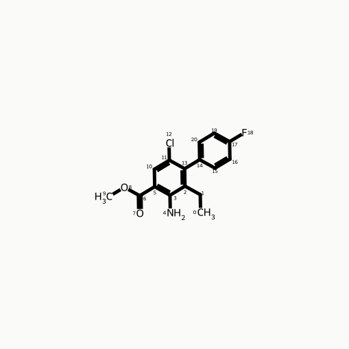 CCc1c(N)c(C(=O)OC)cc(Cl)c1-c1ccc(F)cc1